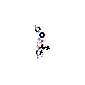 CN1CCN(c2cccc(NC(=O)Nc3sc(C(C)(C)C)cc3C(=O)N3CCNC(=O)C3(C)C)c2)CC1